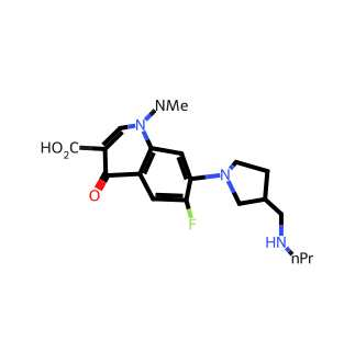 CCCNCC1CCN(c2cc3c(cc2F)c(=O)c(C(=O)O)cn3NC)C1